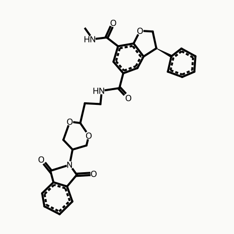 CNC(=O)c1cc(C(=O)NCCC2OCC(N3C(=O)c4ccccc4C3=O)CO2)cc2c1OC[C@H]2c1ccccc1